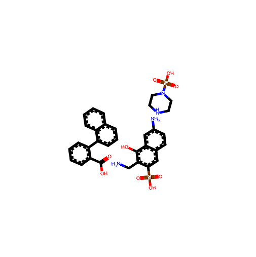 NCc1c(S(=O)(=O)O)cc2ccc(N)cc2c1O.O=C(O)c1ccccc1-c1cccc2ccccc12.O=S(=O)(O)N1CCNCC1